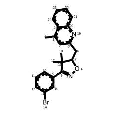 Cc1cc(CC2ON=C(c3cccc(Br)c3)C2(C)C)nc2ccccc12